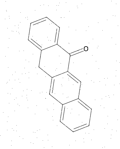 O=C1c2ccccc2Cc2cc3ccccc3cc21